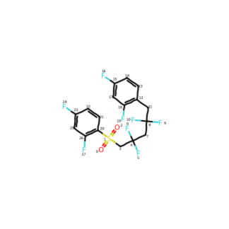 O=S(=O)(CC(F)(F)CC(F)(F)Cc1ccc(F)cc1F)c1ccc(F)cc1F